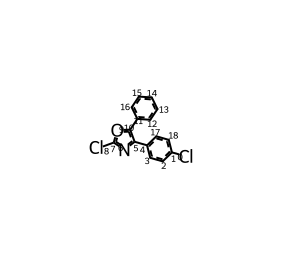 Clc1ccc(-c2nc(Cl)oc2-c2ccccc2)cc1